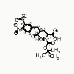 CC(C)(C)OC(=O)NC(CC(Cc1ccc([N+](=O)[O-])c([N+](=O)[O-])c1)C(=O)O)C(=O)O